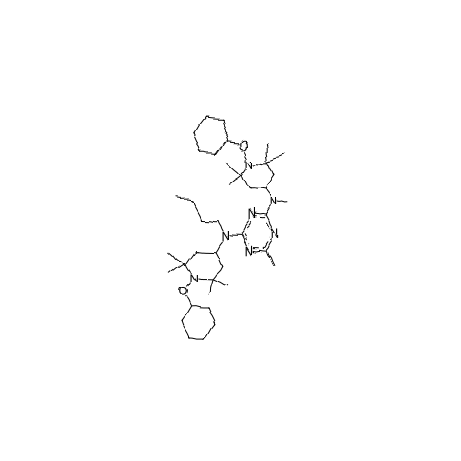 CCCCN(c1nc(C)nc(N(C)C2CC(C)(C)N(OC3CCCCC3)C(C)(C)C2)n1)C1CC(C)(C)N(OC2CCCCC2)C(C)(C)C1